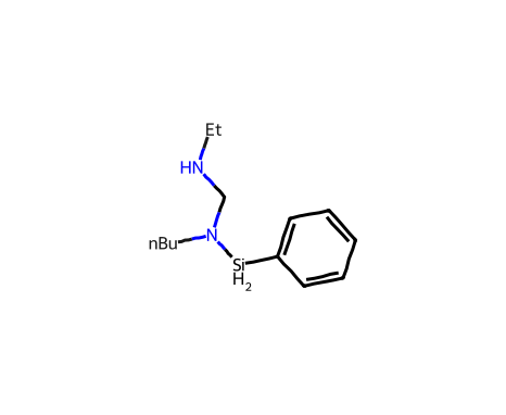 CCCCN(CNCC)[SiH2]c1ccccc1